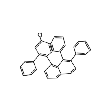 Clc1ccc(-c2cccc3ccc(-c4ccccc4)c(-c4ccccc4)c23)c(-c2ccccc2)c1